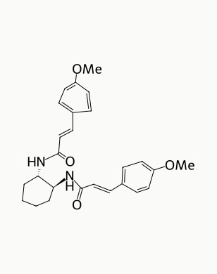 COc1ccc(/C=C/C(=O)N[C@H]2CCCC[C@@H]2NC(=O)/C=C/c2ccc(OC)cc2)cc1